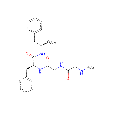 CC(C)(C)NCC(=O)NCC(=O)N[C@@H](Cc1ccccc1)C(=O)N[C@@H](Cc1ccccc1)C(=O)O